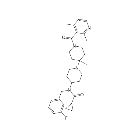 Cc1ccnc(C)c1C(=O)N1CCC(C)(N2CCC(N(Cc3cccc(F)c3)C(=O)C3CC3)CC2)CC1